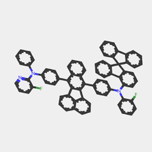 Fc1ccccc1N(c1ccc(-c2c3c(c(-c4ccc(N(c5ccccc5)c5ncccc5F)cc4)c4ccccc24)-c2cccc4cccc-3c24)cc1)c1cccc2c1-c1ccccc1C21c2ccccc2-c2ccccc21